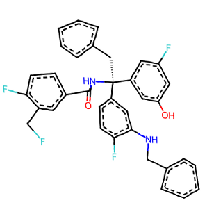 O=C(N[C@@](Cc1ccccc1)(c1cc(O)cc(F)c1)c1ccc(F)c(NCc2ccccc2)c1)c1ccc(F)c(CF)c1